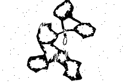 O=P1(c2cncc3c4ccccc4n4c5ccccc5nc4c23)c2ccccc2-c2ccccc21